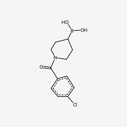 O=C(c1ccc(Cl)cc1)N1CCC(B(O)O)CC1